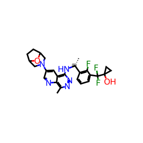 Cc1nnc(N[C@H](C)c2cccc(C(F)(F)C3(O)CC3)c2F)c2cc(N3CC4CCC(C3)O4)cnc12